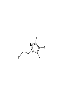 Cc1nn(CCI)c(C)c1I